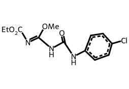 CCOC(=O)/N=C(/NC(=O)Nc1ccc(Cl)cc1)OC